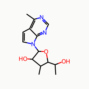 Cc1ncnc2c1ccn2C1OC(C(C)O)C(C)C1O